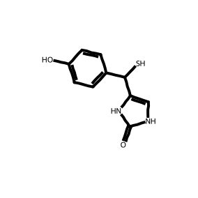 O=c1[nH]cc(C(S)c2ccc(O)cc2)[nH]1